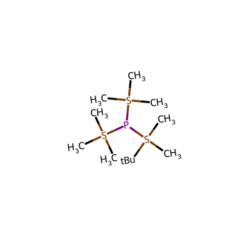 CC(C)(C)S(C)(C)P(S(C)(C)C)S(C)(C)C